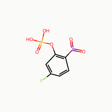 O=I(=O)c1ccc(F)cc1OP(=O)(O)O